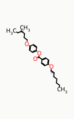 CCCCC/C=C/Oc1ccc(C(=O)Oc2ccc(OCCC[C@@H](C)CC)cc2)cc1